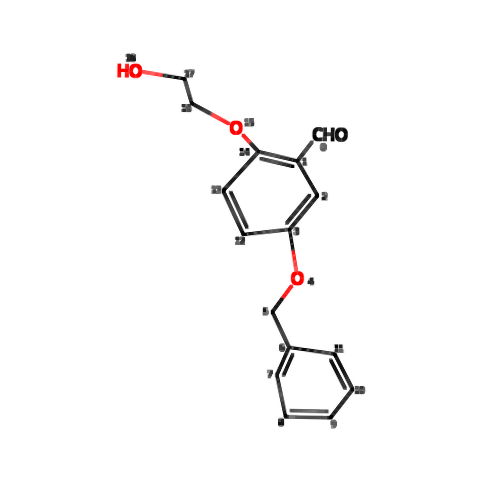 O=Cc1cc(OCc2ccccc2)ccc1OCCO